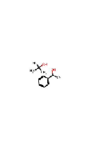 CC(C)(O)C#N.N#CC(O)c1ccccc1